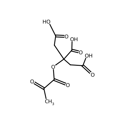 CC(=O)C(=O)OC(CC(=O)O)(CC(=O)O)C(=O)O